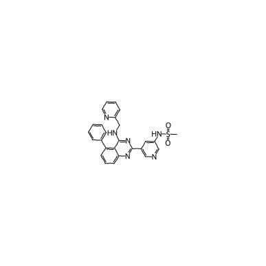 CS(=O)(=O)Nc1cncc(-c2nc(NCc3ccccn3)c3c(-c4ccccc4)cccc3n2)c1